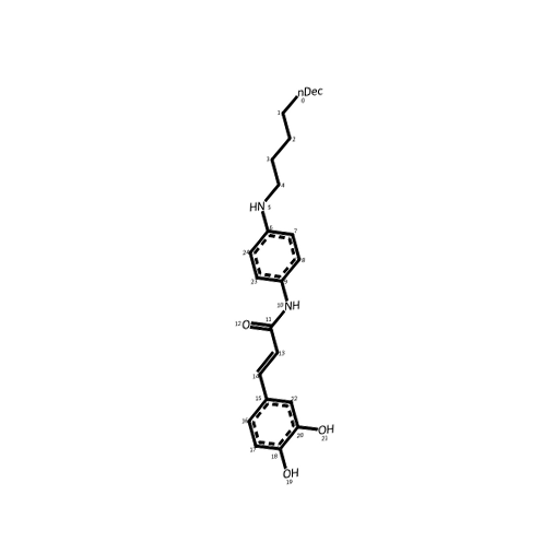 CCCCCCCCCCCCCCNc1ccc(NC(=O)C=Cc2ccc(O)c(O)c2)cc1